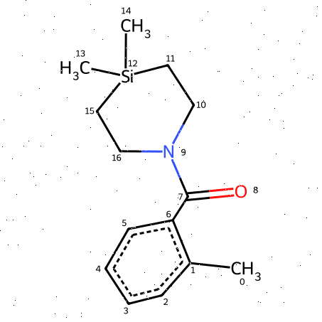 Cc1ccccc1C(=O)N1CC[Si](C)(C)CC1